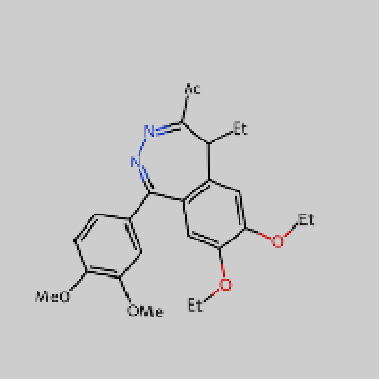 CCOc1cc2c(cc1OCC)C(CC)C(C(C)=O)=NN=C2c1ccc(OC)c(OC)c1